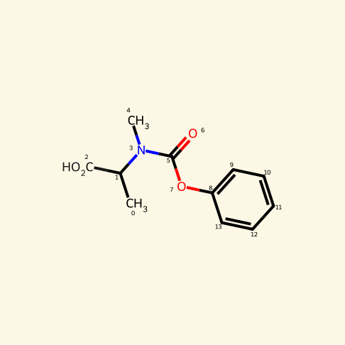 CC(C(=O)O)N(C)C(=O)Oc1ccccc1